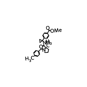 COC(=O)c1ccc(C2(NC(=O)[C@@]3(C)CCCN3Cc3ccc(C)cc3)CC2)cc1